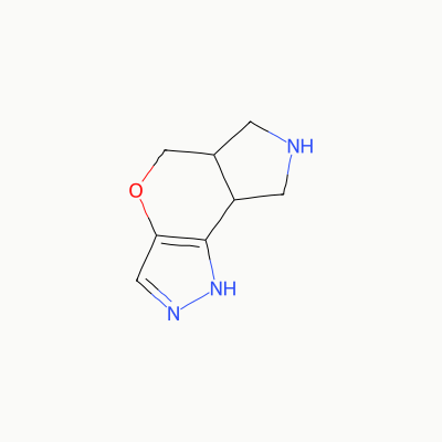 c1n[nH]c2c1OCC1CNCC21